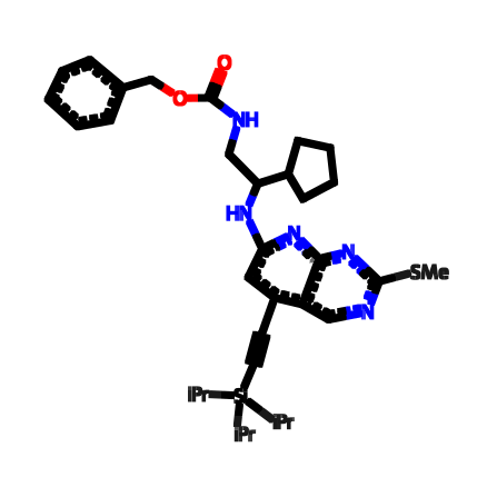 CSc1ncc2c(C#C[Si](C(C)C)(C(C)C)C(C)C)cc(NC(CNC(=O)OCc3ccccc3)C3CCCC3)nc2n1